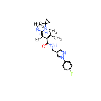 C=N/C(NC1(C)CC1)=C(\CC)C(C(=O)NCc1cnn(-c2ccc(F)cc2)c1)=C(C)C